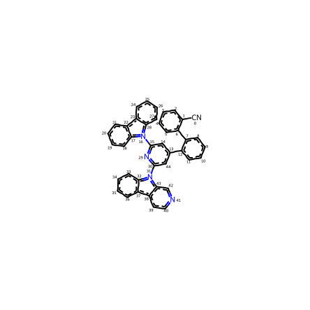 N#Cc1ccccc1-c1ccccc1-c1cc(-n2c3ccccc3c3ccccc32)nc(-n2c3ccccc3c3ccncc32)c1